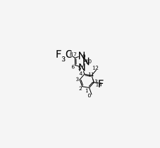 Cc1ccc(-n2cc(C(F)(F)F)nn2)c(C)c1F